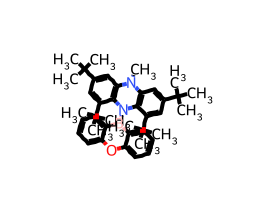 CN1c2cc(C(C)(C)C)cc(C(C)(C)C)c2N(B2c3ccccc3Oc3ccccc32)c2c1cc(C(C)(C)C)cc2C(C)(C)C